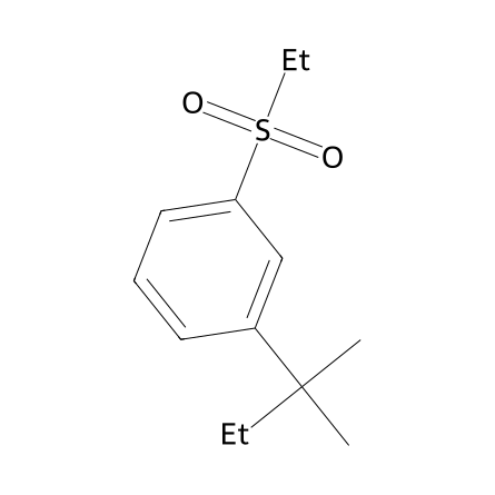 CCC(C)(C)c1cccc(S(=O)(=O)CC)c1